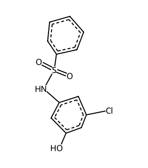 O=S(=O)(Nc1cc(O)cc(Cl)c1)c1ccccc1